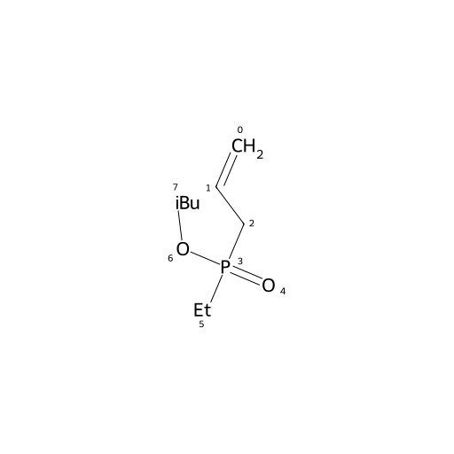 C=CCP(=O)(CC)OC(C)CC